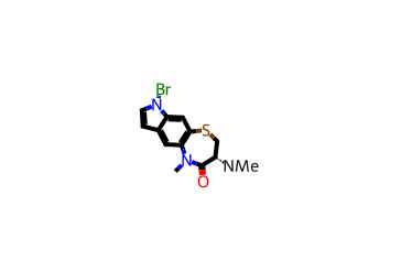 CN[C@H]1CSc2cc3c(ccn3Br)cc2N(C)C1=O